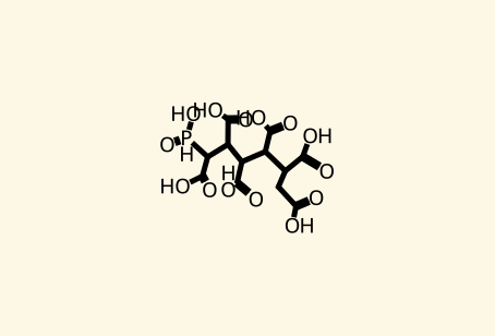 O=C(O)CC(C(=O)O)C(C(=O)O)C(C(=O)O)C(C(=O)O)C(C(=O)O)[PH](=O)O